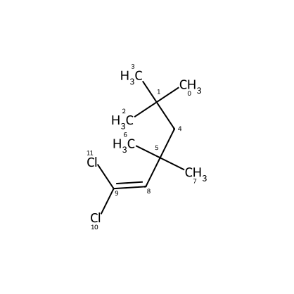 CC(C)(C)CC(C)(C)C=C(Cl)Cl